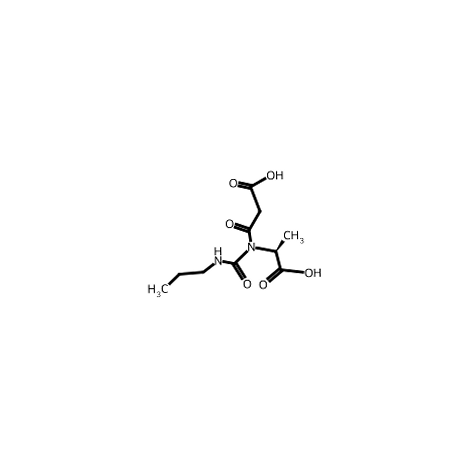 CCCNC(=O)N(C(=O)CC(=O)O)[C@@H](C)C(=O)O